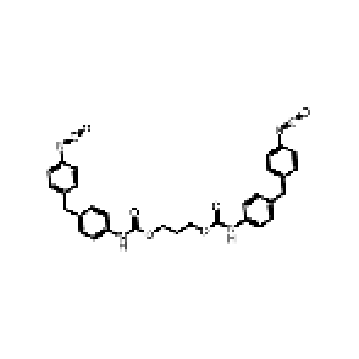 O=C=Nc1ccc(Cc2ccc(NC(=O)OCCCOC(=O)Nc3ccc(Cc4ccc(N=C=O)cc4)cc3)cc2)cc1